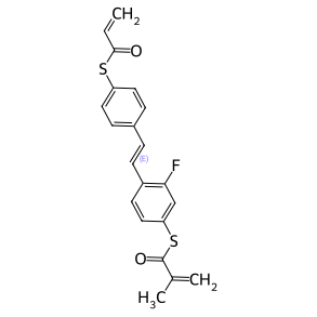 C=CC(=O)Sc1ccc(/C=C/c2ccc(SC(=O)C(=C)C)cc2F)cc1